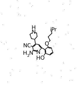 CC(C)CCCOc1cccc(O)c1-c1cc(C2CCNCC2)c(C#N)c(N)n1